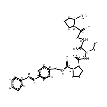 CC(C)C[C@H](NC(=O)[C@@H]1CCCN1C(=O)OCc1ccc(N=Nc2ccccc2)cc1)C(=O)NCC(=O)N1CCC[C@H]1[C]=O